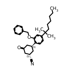 CCCCCCC(C)(C)c1ccc([C@@H]2CC(=O)C[C@@H](C#N)C2)c(OCc2ccccc2)c1